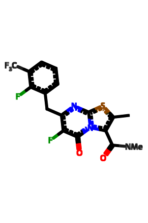 CNC(=O)c1c(C)sc2nc(Cc3cccc(C(F)(F)F)c3F)c(F)c(=O)n12